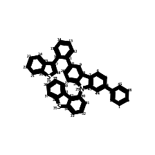 c1ccc(-c2ccc3c4cc(-c5ccccc5-c5csc6ccccc56)ccc4n(-c4cccc5sc6ccccc6c45)c3c2)cc1